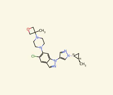 C[C@@H]1C[C@H]1n1cc(-n2ncc3cc(Cl)c(N4CCN(C5(C)COC5)CC4)cc32)cn1